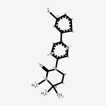 CN1C(=O)N(c2cnc(-c3cccc(F)c3)cn2)CCC1(C)C